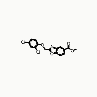 COC(=O)c1ccc2oc(COc3ccc(Cl)cc3Cl)nc2c1